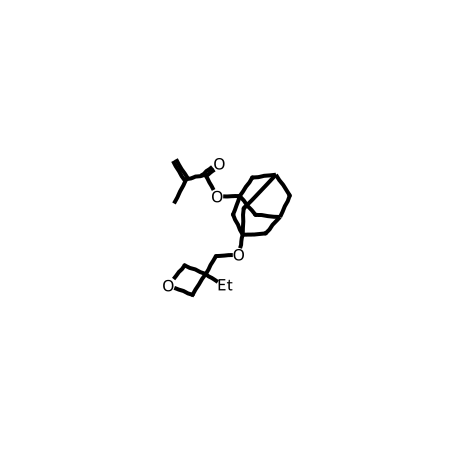 C=C(C)C(=O)OC12CC3CC(CC(OCC4(CC)COC4)(C3)C1)C2